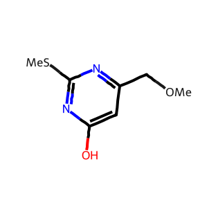 COCc1cc(O)nc(SC)n1